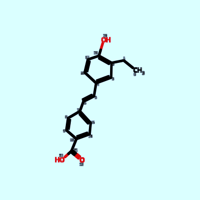 CCc1cc(/C=C/c2ccc(C(=O)O)cc2)ccc1O